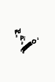 [C]=O.[P].[Pd]